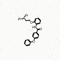 CC(C)N(CCOc1ccccc1NC(=O)c1ccc(Oc2ccccc2)cc1)C(C)C